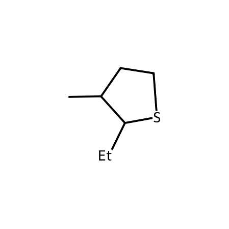 CCC1SCCC1C